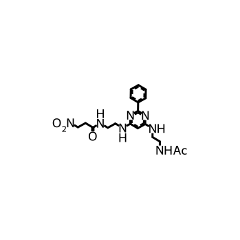 CC(=O)NCCNc1cc(NCCNC(=O)CC[N+](=O)[O-])nc(-c2ccccc2)n1